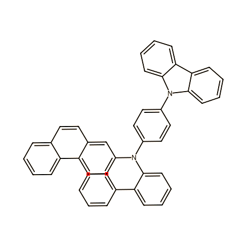 c1ccc(-c2ccccc2N(c2ccc(-n3c4ccccc4c4ccccc43)cc2)c2ccc3c(ccc4ccccc43)c2)cc1